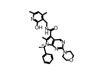 Cc1cc(C)c(CNC(=O)c2c(C)n([C@H](C)c3ccccc3)c3nc(N4CCOCC4)ncc23)c(O)n1